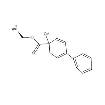 CC[C@H](C)COC(=O)C1(O)C=CC(c2ccccc2)=CC1